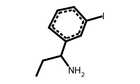 CCC(N)c1cccc(I)c1